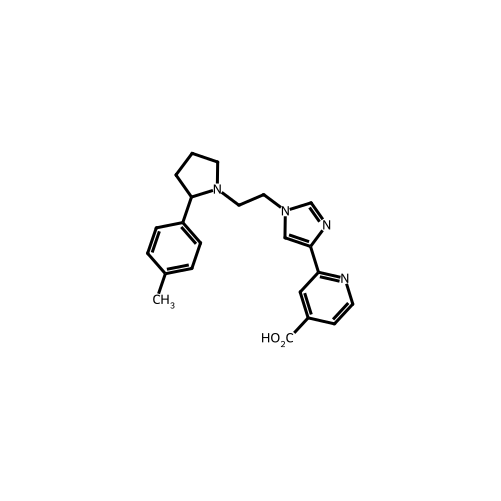 Cc1ccc(C2CCCN2CCn2cnc(-c3cc(C(=O)O)ccn3)c2)cc1